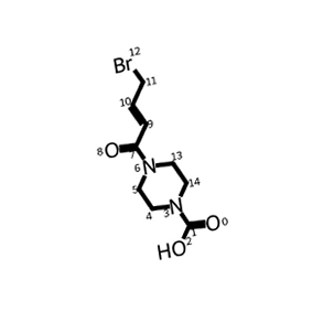 O=C(O)N1CCN(C(=O)/C=C/CBr)CC1